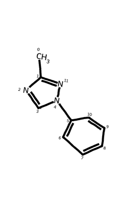 Cc1n[c]n(-c2ccccc2)n1